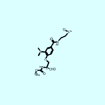 CN(C)c1cc(C(=O)NCC[S+](C)[O-])ccc1OC[C@@H](C=O)NC(=O)OC(C)(C)C